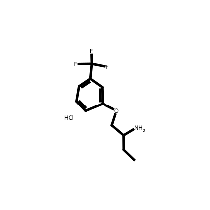 CCC(N)COc1cccc(C(F)(F)F)c1.Cl